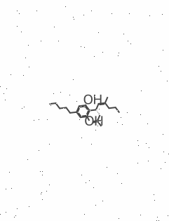 C=C(C)C[C@@H](/C=C(/C)CCC)c1c(O)cc(CCCCC)cc1O